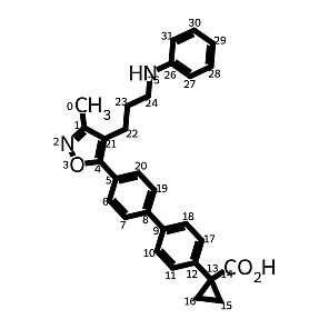 Cc1noc(-c2ccc(-c3ccc(C4(C(=O)O)CC4)cc3)cc2)c1CCCNc1ccccc1